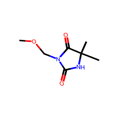 COCN1C(=O)NC(C)(C)C1=O